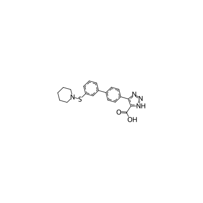 O=C(O)c1[nH]nnc1-c1ccc(-c2cccc(SN3CCCCC3)c2)cc1